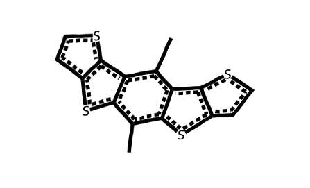 Cc1c2sc3ccsc3c2c(C)c2c1sc1ccsc12